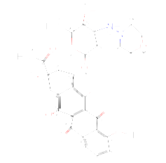 COc1cccc2c1C(=O)c1c(O)c3c(c(O)c1C2=O)C[C@@](O)(C(C)=O)C[C@@H]3OC1CC(NN2CCOCC2)C(O)C(C)O1